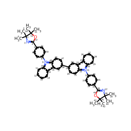 CC1(C)N=C(c2ccc(-n3c4ccccc4c4cc(-c5ccc6c(c5)c5ccccc5n6-c5ccc(C6=NC(C)(C)C(C)(C)O6)cc5)ccc43)cc2)OC1(C)C